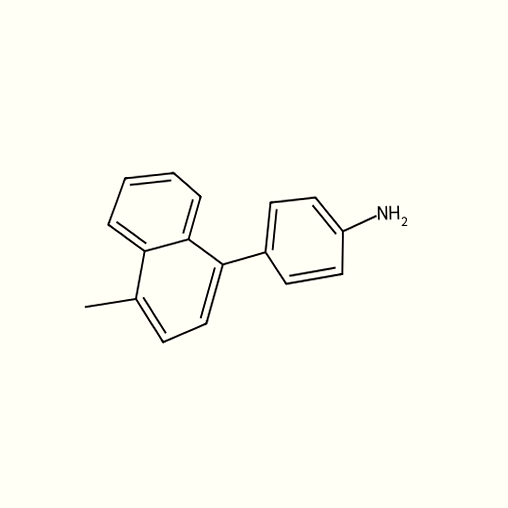 Cc1ccc(-c2ccc(N)cc2)c2ccccc12